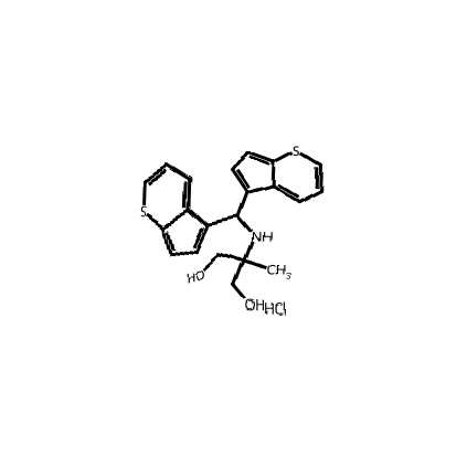 CC(CO)(CO)NC(c1ccc2scccc1-2)c1ccc2scccc1-2.Cl